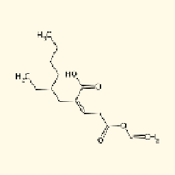 C=COC(=O)CC=C(CC(CC)CCCC)C(=O)O